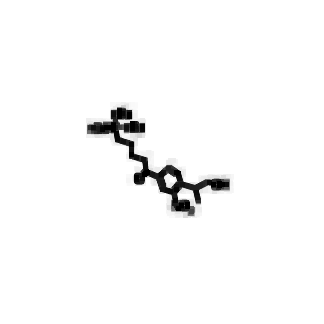 CCCC[PH](CCCC)(CCCC)CCCCC(=O)c1ccc(C(C)CO)c([N+](=O)[O-])c1